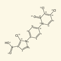 O=C(O)c1cnn(-c2ccc(-n3ccc(Cl)c(Cl)c3=O)cc2)c1Cl